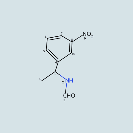 CC(NC=O)c1cccc([N+](=O)[O-])c1